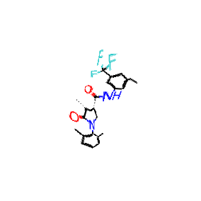 Cc1cc(NC(=O)[C@@H]2CN(c3c(C)cccc3C)C(=O)[C@@H]2C)cc(C(F)(F)F)c1